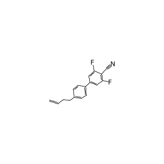 C=CCCc1ccc(-c2cc(F)c(C#N)c(F)c2)cc1